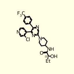 CC[C@H](O)C(=O)NC1CCN(c2cnc(-c3ccc(C(F)(F)F)cc3)c(-c3ccncc3Cl)n2)CC1